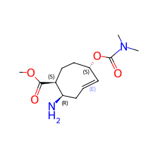 COC(=O)[C@H]1CC[C@H](OC(=O)N(C)C)/C=C/C[C@H]1N